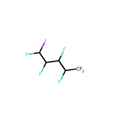 FC(I)C(F)C(F)C(F)C(F)(F)F